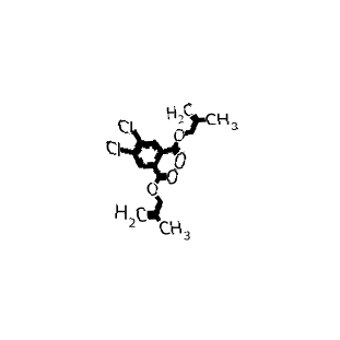 C=C(C)COC(=O)c1cc(Cl)c(Cl)cc1C(=O)OCC(=C)C